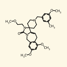 COCCN1C(=O)N2Cc3cc(OC)cc(OC)c3CC=C2C12CCN(Cc1cc(C)cc(OC)c1)CC2